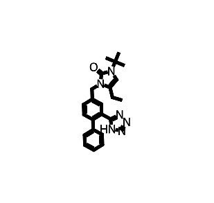 CCc1cn(C(C)(C)C)c(=O)n1Cc1ccc(-c2ccccc2)c(-c2nnn[nH]2)c1